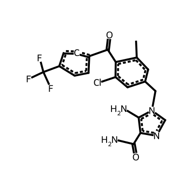 Cc1cc(Cn2cnc(C(N)=O)c2N)cc(Cl)c1C(=O)c1ccc(C(F)(F)F)cc1